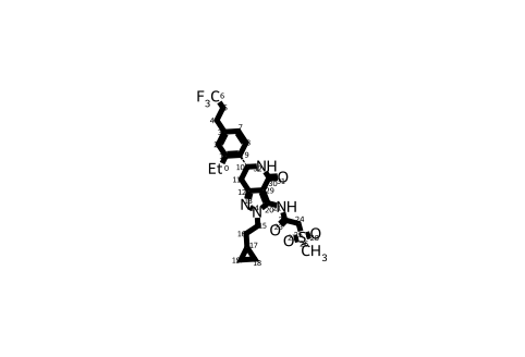 CCc1cc(CCC(F)(F)F)ccc1[C@H]1Cc2nn(CCC3CC3)c(NC(=O)CS(C)(=O)=O)c2C(=O)N1